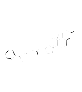 CC[C@H]1C[C@H]2[C@@H]3CCC4=CC(=O)CC[C@@H]4[C@H]3CC[C@]2(C)[C@H]1OC(=O)COCC(O)c1ccccc1